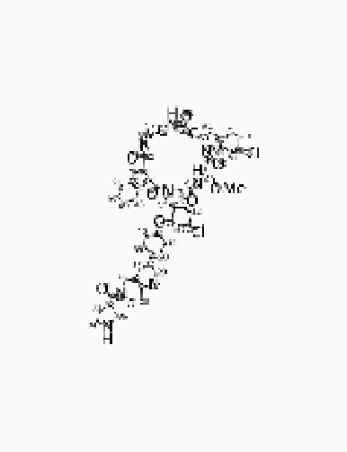 COC[C@@H]1NC(=O)[C@H](C)N(Cc2ccc(Cl)cc2Oc2ccc(-c3cnc4c(c3)CN(C(=O)[C@H]3CCNC3)CC4)cc2)C(=O)C[C@@H](Cc2ccccc2)C(=O)N(C)[C@@H](C)CNC(=O)C[C@H](Cc2ccc(Cl)cc2)N(C)C1=O